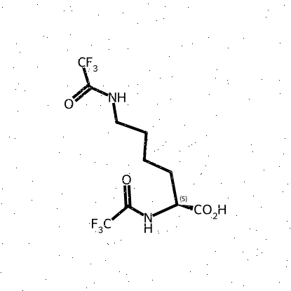 O=C(O)[C@H](CCCCNC(=O)C(F)(F)F)NC(=O)C(F)(F)F